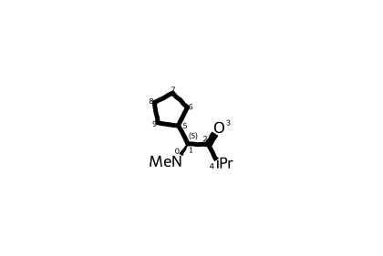 CN[C@H](C(=O)C(C)C)C1CCCC1